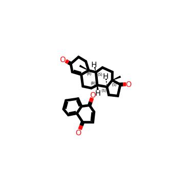 C[C@]12CCC(=O)C=C1CC[C@@H]1[C@@H]2CC[C@]2(C)C(=O)CC[C@@H]12.O=C1C=CC(=O)c2ccccc21